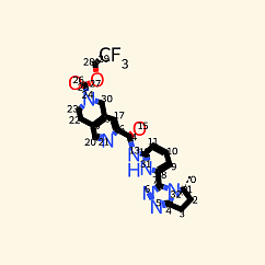 C[C@@H]1CCc2nnc(-c3cccc(NC(=O)c4cc5c(cn4)CCN(C(=O)OCC(F)(F)F)C5)n3)n21